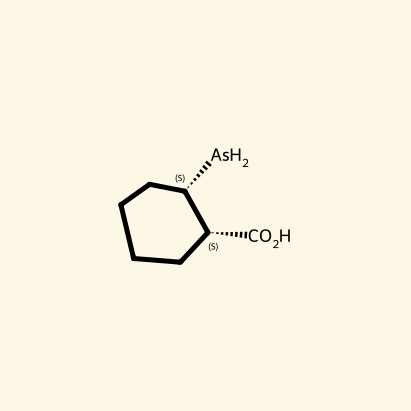 O=C(O)[C@@H]1CCCC[C@@H]1[AsH2]